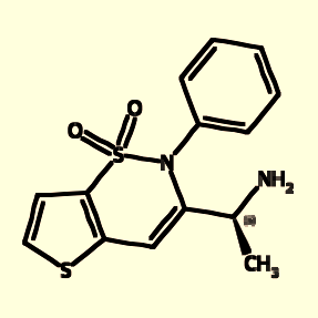 C[C@H](N)C1=Cc2sccc2S(=O)(=O)N1c1ccccc1